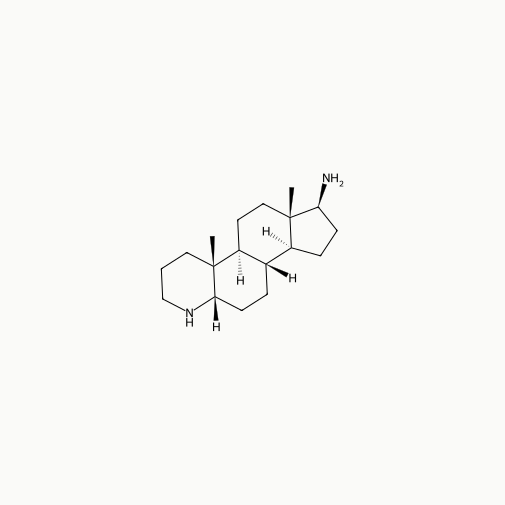 C[C@]12CCCN[C@H]1CC[C@@H]1[C@@H]2CC[C@]2(C)[C@@H](N)CC[C@@H]12